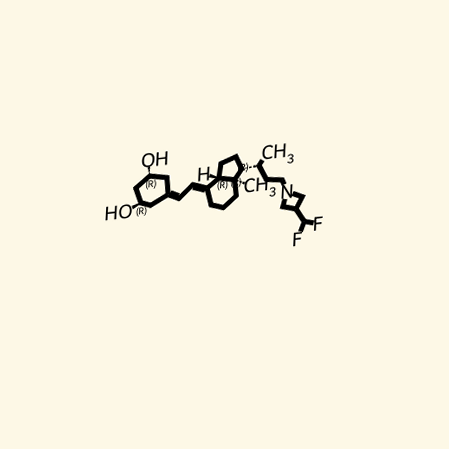 CC(CCN1CC(C(F)F)C1)[C@H]1CC[C@H]2C(=CC=C3C[C@@H](O)C[C@H](O)C3)CCC[C@]12C